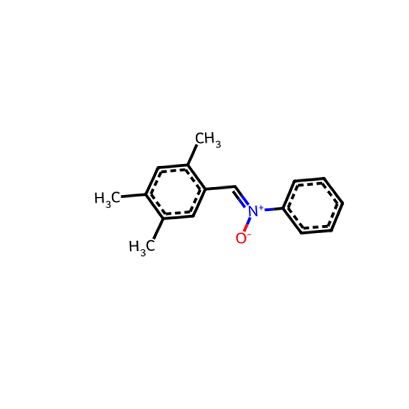 Cc1cc(C)c(C=[N+]([O-])c2ccccc2)cc1C